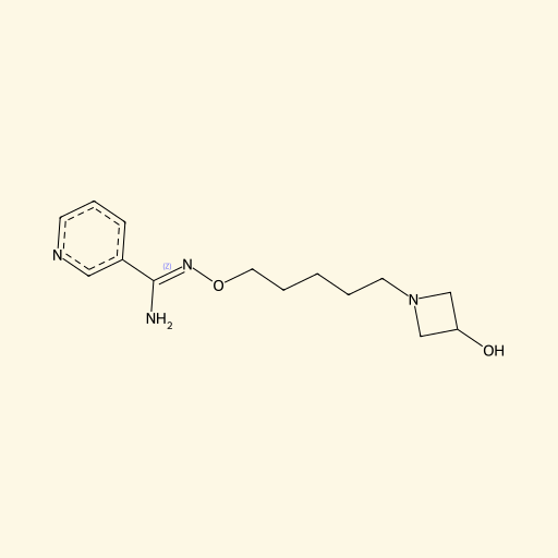 N/C(=N\OCCCCCN1CC(O)C1)c1cccnc1